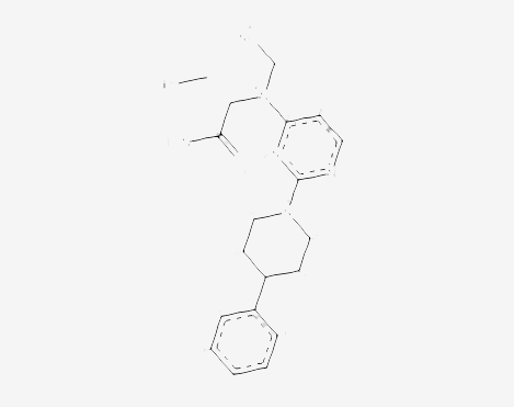 CC(C)C[C@@H](C(N)=O)N(CC#N)c1ccnc(N2CCC(c3ccccc3)CC2)n1